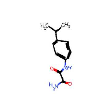 CC(C)c1ccc(NC(=O)C(N)=O)cc1